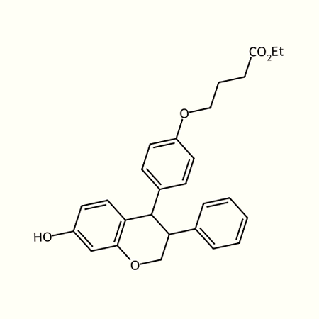 CCOC(=O)CCCOc1ccc(C2c3ccc(O)cc3OCC2c2ccccc2)cc1